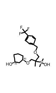 CC(COCc1ccc(C(F)(F)F)cc1)(CO[C@@H]1CCC[C@H](O)C1)[Si](C)(C)O